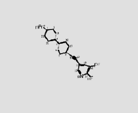 CCC[C@H]1CC[C@H]([C@H]2CC[C@H](C#Cc3cnc(F)c(F)c3)CC2)CC1